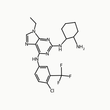 CCn1cnc2c(Nc3ccc(Cl)c(C(F)(F)F)c3)nc(NC3CCCCC3N)nc21